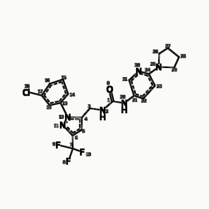 O=C(NCc1cc(C(F)(F)F)nn1-c1cccc(Cl)c1)Nc1ccc(N2CCCC2)nc1